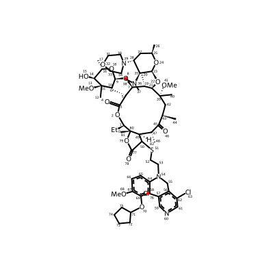 CC[C@H]1OC(=O)[C@H](C)[C@@H](O[C@H]2C[C@@](C)(OC)[C@@H](O)[C@H](C)O2)[C@H](C)[C@@H](O[C@@H]2O[C@H](C)C[C@@H](N3CCOCC3)[C@@H]2N(C)C)[C@](C)(OC)C[C@@H](C)C(=O)[C@H](C)[C@H]2C(SCCN(Cc3c(Cl)cncc3Cl)c3ccc(OC)c(OC4CCCC4)c3)C(=O)O[C@@]21C